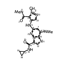 CNC(=O)c1c(Nc2cc(NC)c3ncc(C(=O)NC4CC4)n3n2)cnn1C